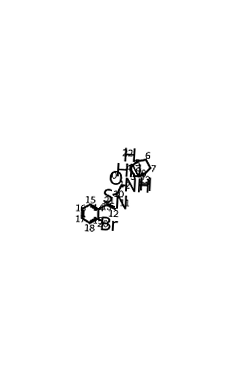 O=C(N[C@@H]1C[C@H]2CC[C@@H]1N2)c1ncc(-c2ccccc2Br)s1